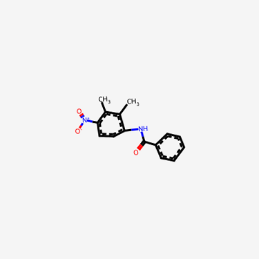 Cc1c(NC(=O)c2ccccc2)ccc([N+](=O)[O-])c1C